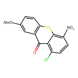 COc1ccc2sc3c([N+](=O)[O-])ccc(Cl)c3c(=O)c2c1